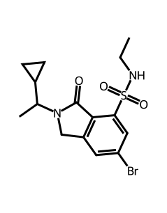 CCNS(=O)(=O)c1cc(Br)cc2c1C(=O)N(C(C)C1CC1)C2